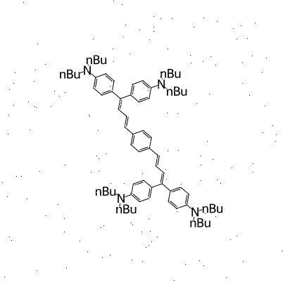 CCCCN(CCCC)c1ccc(C(=C/C=C/c2ccc(/C=C/C=C(c3ccc(N(CCCC)CCCC)cc3)c3ccc(N(CCCC)CCCC)cc3)cc2)c2ccc(N(CCCC)CCCC)cc2)cc1